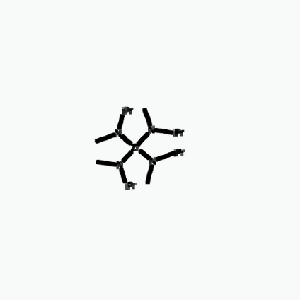 CC(C)[N](C)[Zr]([N](C)C(C)C)([N](C)C(C)C)[N](C)C(C)C